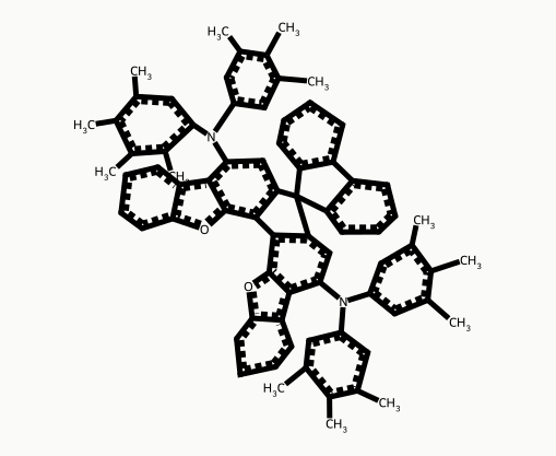 Cc1cc(N(c2cc(C)c(C)c(C)c2)c2cc3c(c4oc5ccccc5c24)-c2c(cc(N(c4cc(C)c(C)c(C)c4)c4cc(C)c(C)c(C)c4C)c4c2oc2ccccc24)C32c3ccccc3-c3ccccc32)cc(C)c1C